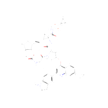 C=C[C@@H]1C[C@]1(NC(=O)[C@@H]1C[C@@H](Oc2cc(-c3ccc4c(c3)CCN4C)nc3cc(OC)ccc23)CN1C(=O)[C@@H](NC(=O)OC1CCCC1)C(C)C)C(=O)NS(=O)(=O)C1CC1